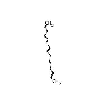 [CH2]C=CCC=CCC=CCC=CCC=C